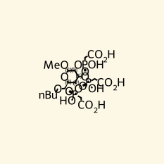 CCCCOC[C@H]1O[C@H](OC)[C@H](OP(=O)(O)CC(=O)O)[C@@H](OP(=O)(O)CC(=O)O)[C@@H]1OP(=O)(O)CC(=O)O